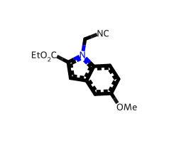 [C-]#[N+]Cn1c(C(=O)OCC)cc2cc(OC)ccc21